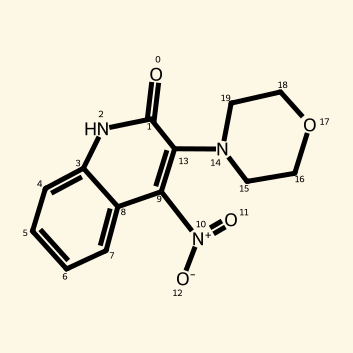 O=c1[nH]c2ccccc2c([N+](=O)[O-])c1N1CCOCC1